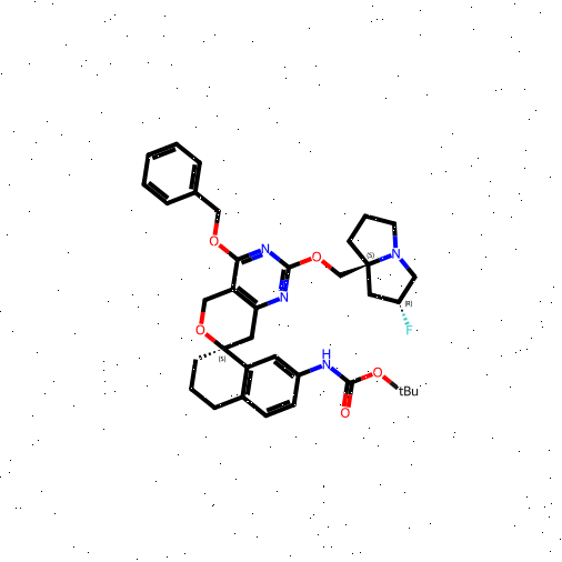 CC(C)(C)OC(=O)Nc1ccc2c(c1)[C@]1(CCC2)Cc2nc(OC[C@@]34CCCN3C[C@H](F)C4)nc(OCc3ccccc3)c2CO1